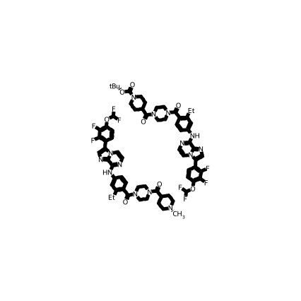 CCc1cc(Nc2nccn3c(-c4ccc(OC(F)F)c(F)c4F)cnc23)ccc1C(=O)N1CCN(C(=O)C2CCN(C(=O)OC(C)(C)C)CC2)CC1.CCc1cc(Nc2nccn3c(-c4ccc(OC(F)F)c(F)c4F)cnc23)ccc1C(=O)N1CCN(C(=O)C2CCN(C)CC2)CC1